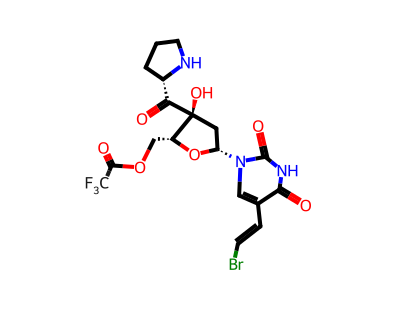 O=C(OC[C@H]1O[C@@H](n2cc(/C=C/Br)c(=O)[nH]c2=O)C[C@@]1(O)C(=O)[C@@H]1CCCN1)C(F)(F)F